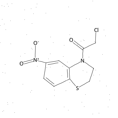 O=C(CCl)N1CCSc2ccc([N+](=O)[O-])cc21